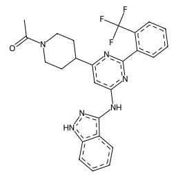 CC(=O)N1CCC(c2cc(Nc3n[nH]c4ccccc34)nc(-c3ccccc3C(F)(F)F)n2)CC1